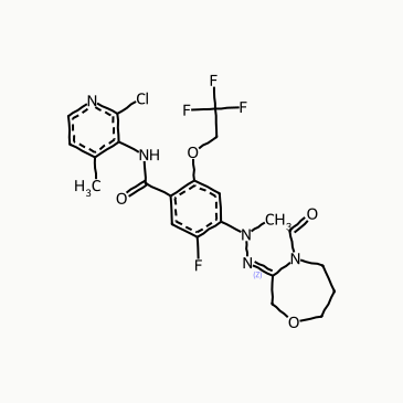 Cc1ccnc(Cl)c1NC(=O)c1cc(F)c(N(C)/N=C2/COCCCN2C=O)cc1OCC(F)(F)F